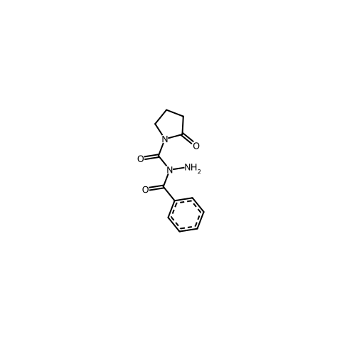 NN(C(=O)c1ccccc1)C(=O)N1CCCC1=O